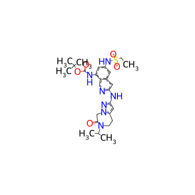 CCS(=O)(=O)Nc1cc(NC(=O)OC(C)(C)C)c2cnc(Nc3cc4n(n3)CC(=O)N(C(C)C)CC4)cc2c1